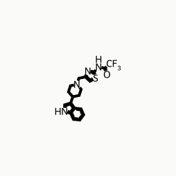 O=C(Nc1nc(CN2CCC(c3c[nH]c4ccccc34)CC2)cs1)C(F)(F)F